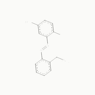 Cc1[c]cc(C)c(N=Nc2ccccc2CN)c1